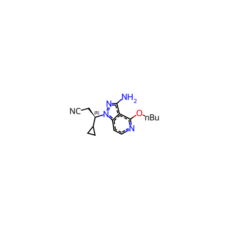 CCCCOc1nccc2c1c(N)nn2[C@H](CC#N)C1CC1